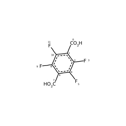 O=C(O)c1c(F)c(F)c(C(=O)O)c(F)c1F